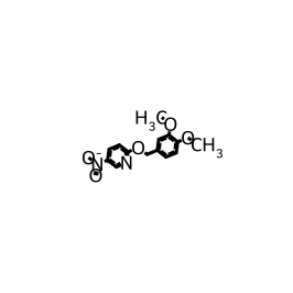 COc1ccc(COc2ccc([N+](=O)[O-])cn2)cc1OC